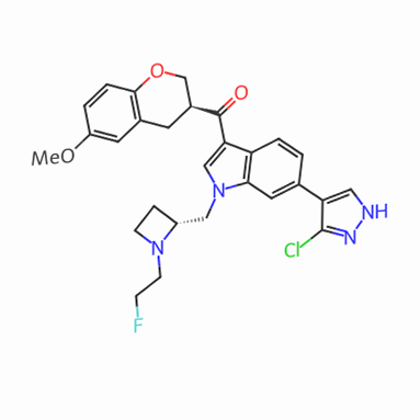 COc1ccc2c(c1)C[C@H](C(=O)c1cn(C[C@H]3CCN3CCF)c3cc(-c4c[nH]nc4Cl)ccc13)CO2